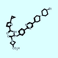 CC[C@H]1CC[C@H](C2CC=C(c3cnc(-c4ccc(C[C@H](NC(=O)c5ccc(C6CC6)s5)C(=O)N5CC(C(=O)O)C5)cc4)nc3)CC2)CC1